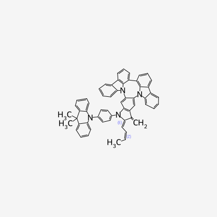 C=c1/c(=C\C=C/C)n(-c2ccc(N3c4ccccc4C(C)(C)c4ccccc43)cc2)c2cc3c(cc12)n1c2ccccc2c2cccc(c4cccc5c6ccccc6n3c54)c21